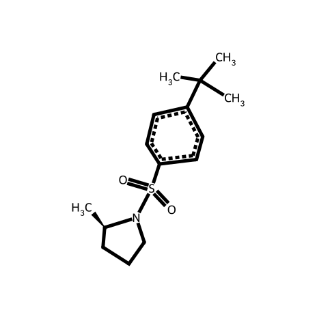 C[C@@H]1CCCN1S(=O)(=O)c1ccc(C(C)(C)C)cc1